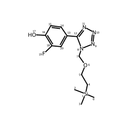 C[Si](C)(C)CCOCn1nnnc1-c1ccc(O)c(F)c1